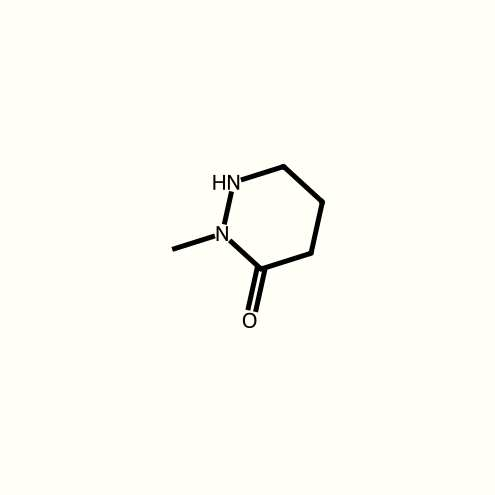 CN1NCCCC1=O